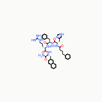 N=C(N)NCCC[C@H](NC(=O)[C@@H](Cc1ccccc1)NC(=O)[C@H](Cc1c[nH]cn1)NC(=O)CCCc1ccccc1)C(=O)N[C@H](Cc1ccc2ccccc2c1)C(N)=O